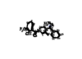 C=C1CN(C(=O)c2cccc(C(F)(F)F)c2Cl)CCN1/C(=N\N)N1CCCCC1